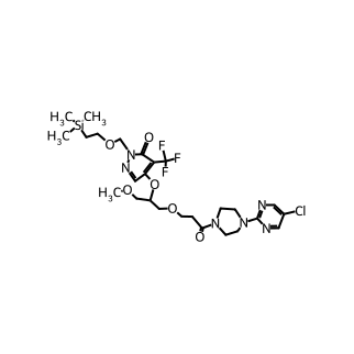 COCC(COCCC(=O)N1CCN(c2ncc(Cl)cn2)CC1)Oc1cnn(COCC[Si](C)(C)C)c(=O)c1C(F)(F)F